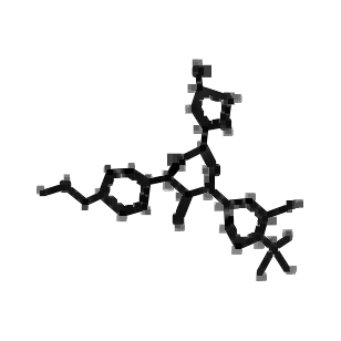 COCc1ccc([C@@H](NC(=O)c2cc(O)no2)C(=O)Nc2ccc(S(C)(C)C)c(F)c2)cc1